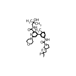 Cc1ccc(NC(=O)N2CC[C@@H](CC(F)(F)F)C2)cc1-c1cc(C(=O)NCC(C)(C)O)nc(N2CCOCC2)c1